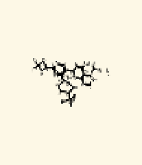 NC(=O)c1nccc2[nH]c(-c3cnc(C4CC(F)(F)C4)nc3C3CCC(C(F)(F)F)CC3)cc(=O)c12